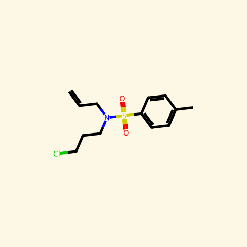 C=CCN(CCCCl)S(=O)(=O)c1ccc(C)cc1